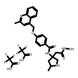 Cc1cc(COc2ccc(C(=O)NC3(CC(=O)NO)CNC(C)C3)cc2)c2ccccc2n1.O=C(O)C(F)(F)F.O=C(O)C(F)(F)F